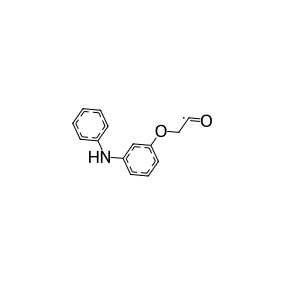 O=[C]COc1cccc(Nc2ccccc2)c1